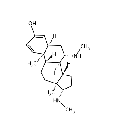 CN[C@H]1C[C@@H]2C=C(O)C=C[C@]2(C)[C@H]2CC[C@]3(C)[C@@H](NC)CC[C@H]3[C@H]12